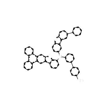 CCCCc1ccc(-c2cccc(N(c3ccc4oc5ccc(-c6ccccc6)cc5c4c3)c3cccc4c3sc3cc5c6ccccc6c6ccccc6c5cc34)c2)cc1